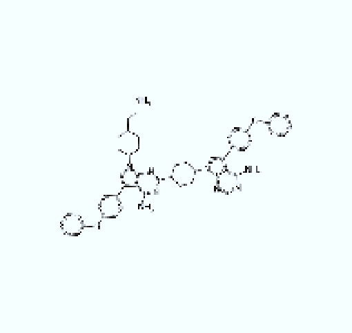 NCCC1CCC(n2cc(-c3ccc(Oc4ccccc4)cc3)c3c(N)nc(C4CCC(n5cc(-c6ccc(Oc7ccccc7)cc6)c6c(N)ncnc65)CC4)nc32)CC1